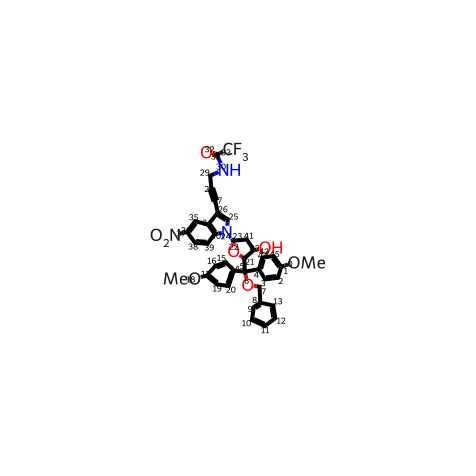 COc1ccc(C(OCc2ccccc2)(c2ccc(OC)cc2)C2OC(n3cc(C#CCNC(=O)C(F)(F)F)c4cc([N+](=O)[O-])ccc43)CC2O)cc1